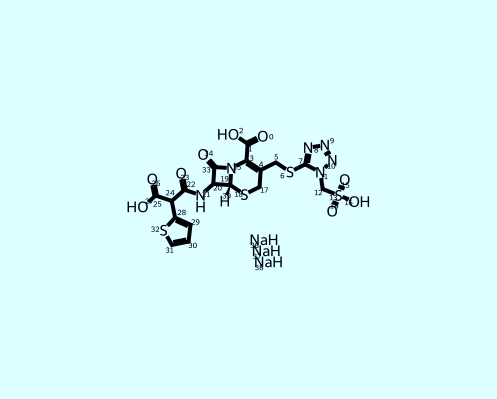 O=C(O)C1=C(CSc2nnnn2CS(=O)(=O)O)CS[C@@H]2C(NC(=O)C(C(=O)O)c3cccs3)C(=O)N12.[NaH].[NaH].[NaH]